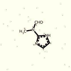 CN([C]=O)c1ncc[nH]1